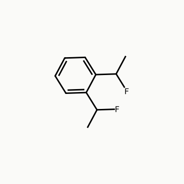 CC(F)c1ccccc1C(C)F